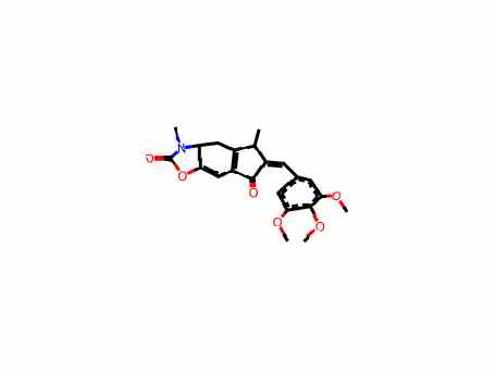 COc1cc(C=C2C(=O)C3=C(CC4C(=C3)OC(=O)N4C)C2C)cc(OC)c1OC